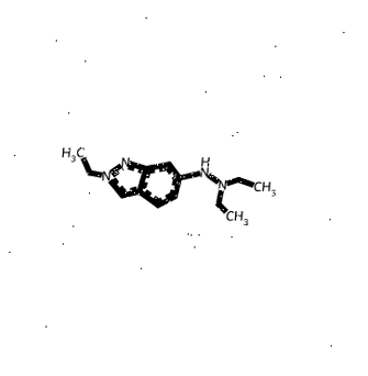 CCN(CC)Nc1ccc2cn(CC)nc2c1